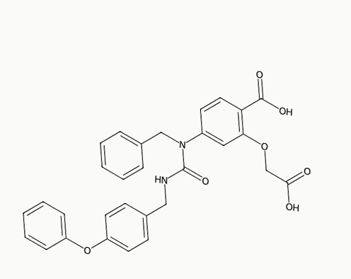 O=C(O)COc1cc(N(Cc2ccccc2)C(=O)NCc2ccc(Oc3ccccc3)cc2)ccc1C(=O)O